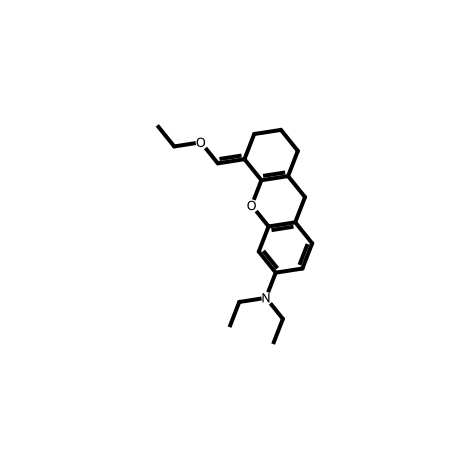 CCOC=C1CCCC2=C1Oc1cc(N(CC)CC)ccc1C2